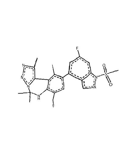 Cc1nnn2c1-c1c(C)c(-c3cc(F)cc4c3cnn4S(C)(=O)=O)cc(F)c1NC2(C)C